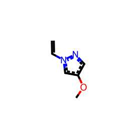 C=Cn1cc(OC)cn1